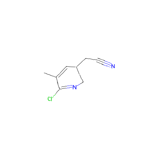 CC1=CC(CC#N)CN=C1Cl